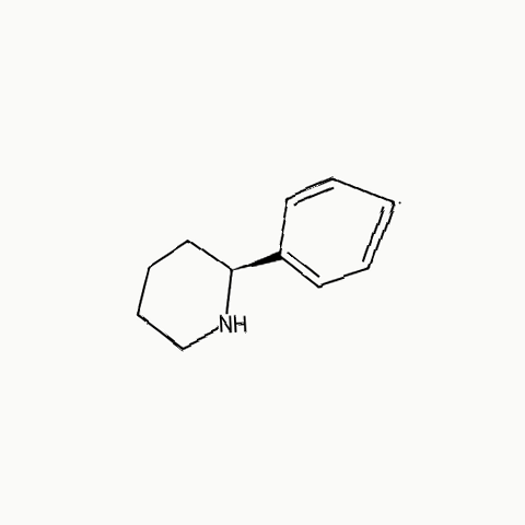 [c]1ccc([C@@H]2CCCCN2)cc1